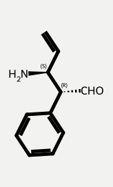 C=C[C@H](N)[C@H](C=O)c1ccccc1